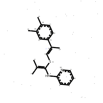 CC(C)=C(Nc1ccccn1)S/C=C(\C)c1ccc(C)c(C)c1